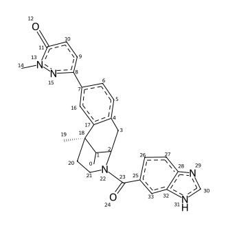 CC1C2Cc3ccc(-c4ccc(=O)n(C)n4)cc3[C@]1(C)CCN2C(=O)c1ccc2nc[nH]c2c1